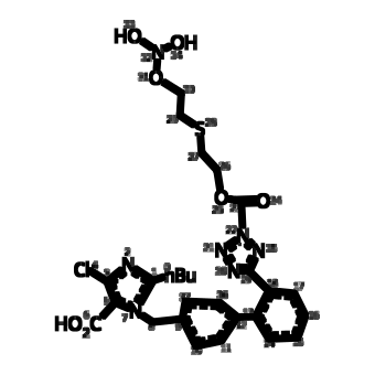 CCCCc1nc(Cl)c(C(=O)O)n1Cc1ccc(-c2ccccc2-c2nnn(C(=O)OCCSCCON(O)O)n2)cc1